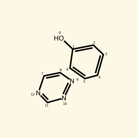 Oc1ccccc1.c1cnncn1